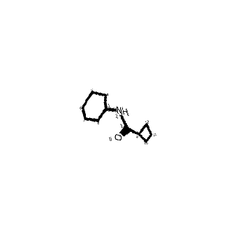 O=C(NC1CCCCC1)C1CCC1